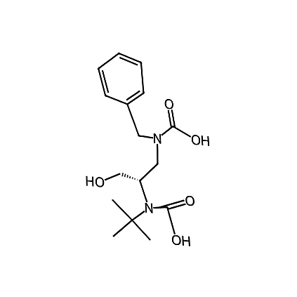 CC(C)(C)N(C(=O)O)[C@H](CO)CN(Cc1ccccc1)C(=O)O